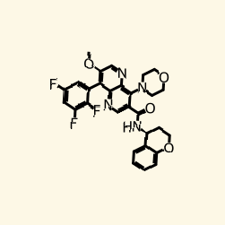 COc1cnc2c(N3CCOCC3)c(C(=O)N[C@H]3CCOc4ccccc43)cnc2c1-c1cc(F)cc(F)c1F